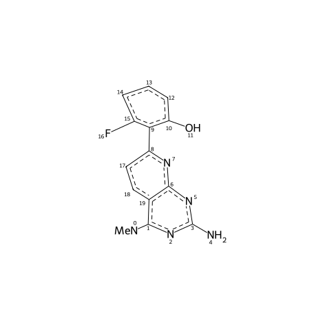 CNc1nc(N)nc2nc(-c3c(O)cccc3F)ccc12